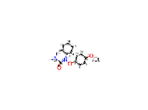 CCOc1ccc(ON(C(=O)N(C)C)c2ccccc2)cc1